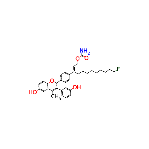 CC1=C(c2cccc(O)c2)C(c2ccc(/C(=C/COC(N)=O)CCCCCCCCCF)cc2)Oc2ccc(O)cc21